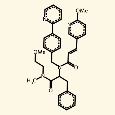 COCCN(C)C(=O)C(Cc1ccccc1)N(Cc1ccc(-c2ccccn2)cc1)C(=O)C=Cc1ccc(OC)nc1